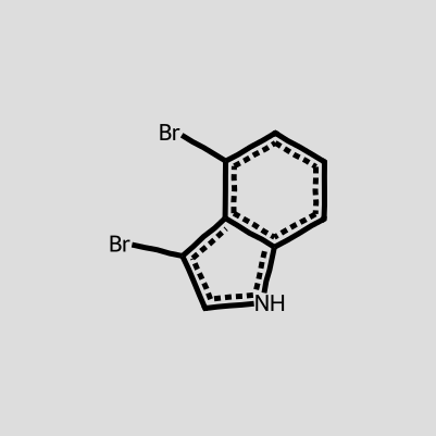 Brc1cccc2[nH]cc(Br)c12